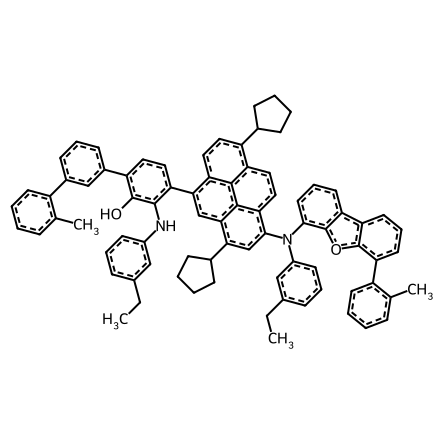 CCc1cccc(Nc2c(-c3cc4c(C5CCCC5)cc(N(c5cccc(CC)c5)c5cccc6c5oc5c(-c7ccccc7C)cccc56)c5ccc6c(C7CCCC7)ccc3c6c45)ccc(-c3cccc(-c4ccccc4C)c3)c2O)c1